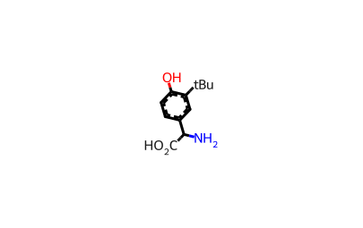 CC(C)(C)c1cc(C(N)C(=O)O)ccc1O